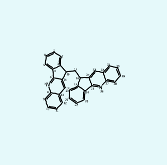 c1ccc2c(c1)-c1nc3ccccc3cc1C2CC1c2ccccc2-c2nc3ccccc3cc21